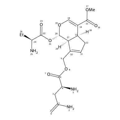 C=C(N)C[C@H](N)C(=O)OCC1=CC[C@@H]2C(C(=O)OC)=CO[C@@H](OC(=O)[C@@H](N)CC)[C@H]12